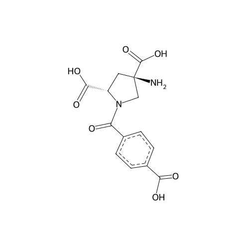 N[C@]1(C(=O)O)C[C@@H](C(=O)O)N(C(=O)c2ccc(C(=O)O)cc2)C1